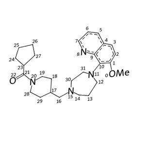 COc1ccc2cccnc2c1N1CCCN(CC2CCN(C(=O)C3CCCC3)CC2)CC1